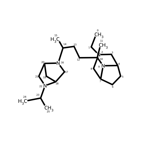 CCN1CC2CCC(C1)N2C(C)CCC(C)N1CC2CC1CN2C(C)C